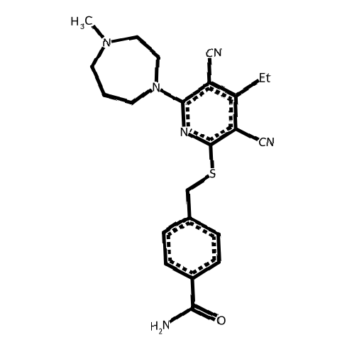 CCc1c(C#N)c(SCc2ccc(C(N)=O)cc2)nc(N2CCCN(C)CC2)c1C#N